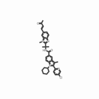 CC(=O)/C=C/c1ccc2nc(C(C)(C)NC(=O)c3ccc4c(c3)c(C)c(-c3ccc(Cl)cn3)n4C3CCCCC3)n(C)c2c1